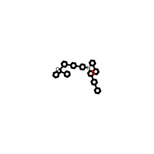 c1ccc(-c2ccc(-c3ccc(N(c4ccc(-c5ccc(-c6cccc(-c7oc8ccccc8c7-c7ccccc7)c6)cc5)cc4)c4ccccc4-c4ccccc4)cc3)cc2)cc1